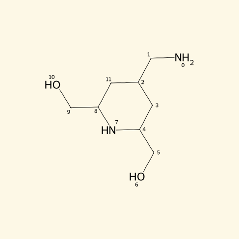 NCC1CC(CO)NC(CO)C1